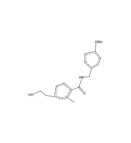 COc1ccc(CNC(=O)c2ccc(CCO)cc2C)cc1